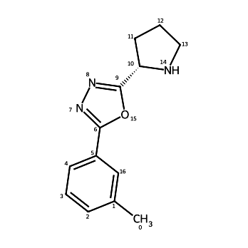 Cc1cccc(-c2nnc([C@@H]3CCCN3)o2)c1